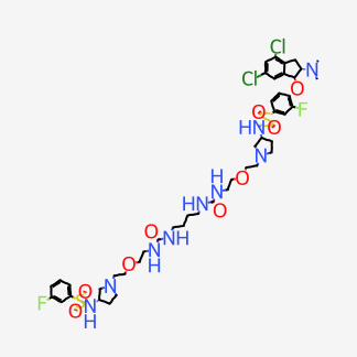 CN(C)[C@H]1Cc2c(Cl)cc(Cl)cc2[C@@H]1Oc1ccc(S(=O)(=O)N[C@H]2CCN(CCOCCNC(=O)NCCCCNC(=O)NCCOCCN3CC[C@H](NS(=O)(=O)c4cccc(F)c4)C3)C2)cc1F